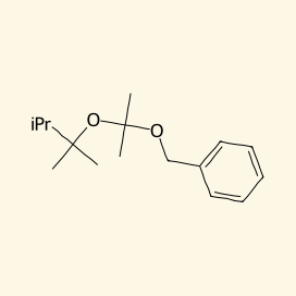 CC(C)C(C)(C)OC(C)(C)OCc1ccccc1